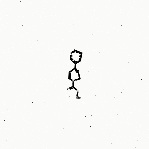 CC(C)(C)OC(=O)N1C=CC(c2cccnc2)=CC1